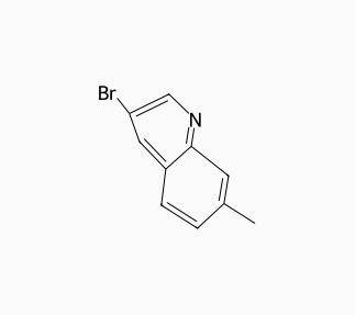 Cc1ccc2cc(Br)cnc2c1